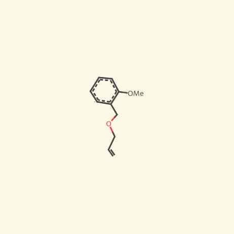 C=CCOCc1[c]cccc1OC